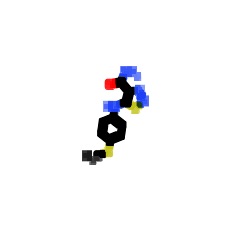 CSc1ccc(Nc2snnc2C(N)=O)cc1